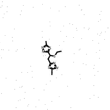 CCSC(Cc1nnc(C)s1)c1nnc(C)s1